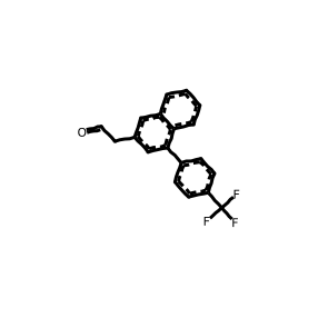 O=CCc1cc(-c2ccc(C(F)(F)F)cc2)c2ccccc2c1